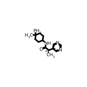 C[C@@H](C(=O)NC1CCC(C)(P)CC1)c1cncnc1